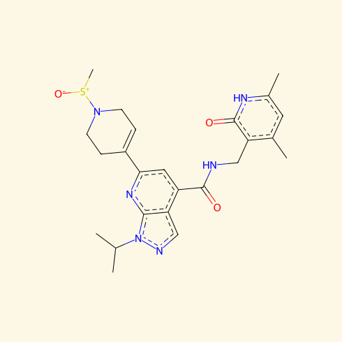 Cc1cc(C)c(CNC(=O)c2cc(C3=CCN([S+](C)[O-])CC3)nc3c2cnn3C(C)C)c(=O)[nH]1